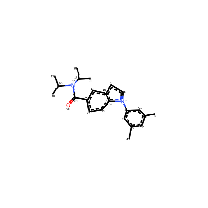 Cc1cc(C)cc(-n2ccc3cc(C(=O)N(C(C)C)C(C)C)ccc32)c1